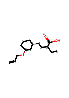 C=CCO[C@H]1CCC[C@@H](CCC(CC)C(=O)O)C1